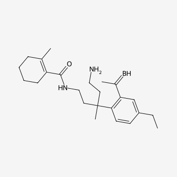 B=C(C)c1cc(CC)ccc1C(C)(CCN)CCNC(=O)C1=C(C)CCCC1